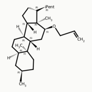 C=CCO[C@H]1C[C@H]2[C@@H](CC[C@@H]3C[C@H](C)CC[C@@]32C)[C@@H]2CC[C@H]([C@H](C)CCC)[C@@]12C